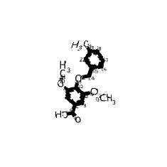 COc1cc(C(=O)O)cc(OC)c1OCc1cccc(C)c1